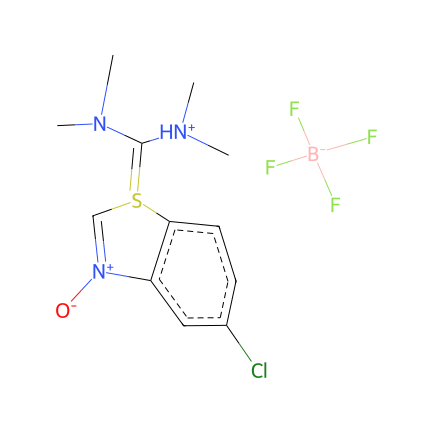 CN(C)C([NH+](C)C)=S1C=[N+]([O-])c2cc(Cl)ccc21.F[B-](F)(F)F